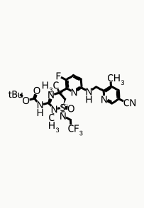 Cc1cc(C#N)cnc1CNc1ccc(F)c([C@]2(C)C[S@@](=O)(=NCC(F)(F)F)N(C)C(NC(=O)OC(C)(C)C)=N2)n1